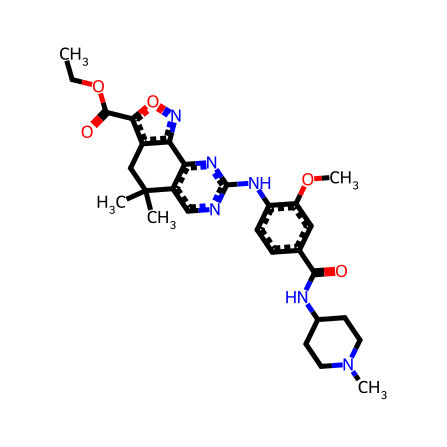 CCOC(=O)c1onc2c1CC(C)(C)c1cnc(Nc3ccc(C(=O)NC4CCN(C)CC4)cc3OC)nc1-2